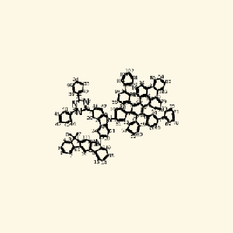 CC1(C)c2ccccc2-c2cc3c4ccccc4n(-c4ccc5c(c4)c4cc(-c6nc(-c7ccccc7)nc(-c7ccccc7)n6)ccc4n5-c4ccc(-c5c(-c6ccccc6)c(-c6cccc(-c7ccccc7)c6)c6c7cccc8c9ccccc9c9cccc(c6c5-c5cccc(-c6ccccc6)c5)c9c87)cc4)c3cc21